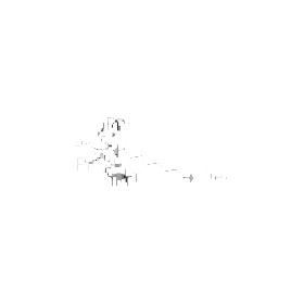 CCCCCCCCCCCCCCCCCCN([Si](CC(C)C)(CC(C)C)CC(C)C)[Si](CC(C)C)(CC(C)C)CC(C)C